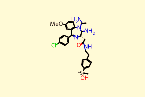 COc1ccc2c(c1)C(c1ccc(Cl)cc1)=N[C@@H](CC(=O)NCCc1ccc([Si](C)(C)O)cc1)C(N)N2C(C)N